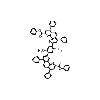 Cc1cc(-c2cc(-c3ccccc3)c3ccc4c(-c5ccccc5)cc(C(=O)Oc5ccccc5)nc4c3n2)c(C)cc1-c1cc(-c2ccccc2)c2ccc3c(-c4ccccc4)cc(C(=O)Oc4ccccc4)nc3c2n1